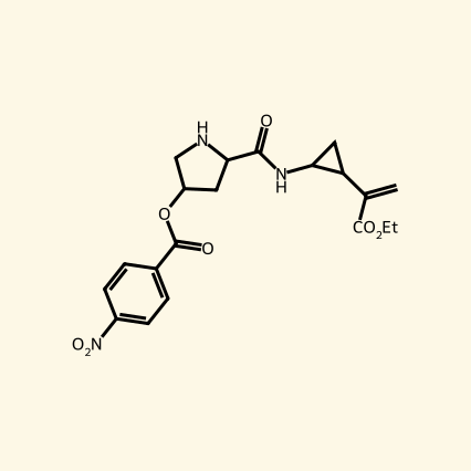 C=C(C(=O)OCC)C1CC1NC(=O)C1CC(OC(=O)c2ccc([N+](=O)[O-])cc2)CN1